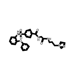 O=C(CNC(=O)c1ccc(S(=O)(=O)Nc2ccccc2Oc2ccccc2)cc1)NCCCn1ccnc1